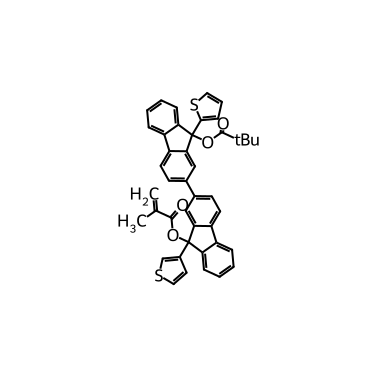 C=C(C)C(=O)OC1(c2ccsc2)c2ccccc2-c2ccc(-c3ccc4c(c3)C(OC(=O)C(C)(C)C)(c3cccs3)c3ccccc3-4)cc21